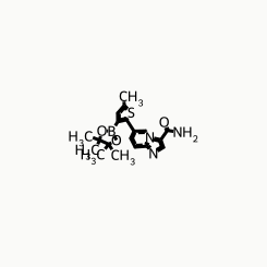 Cc1cc(B2OC(C)(C)C(C)(C)O2)c(-c2ccc3ncc(C(N)=O)n3c2)s1